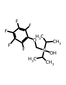 CC(C)[Si](O)(COc1c(F)c(F)c(F)c(F)c1F)C(C)C